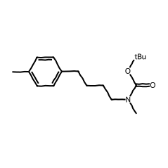 Cc1ccc(CCCCN(C)C(=O)OC(C)(C)C)cc1